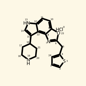 Cl.c1csc(Cc2nc3c(ccc4[nH]cc(C5CCNCC5)c43)o2)c1